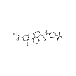 CC(=O)c1cnc(N2CCOc3c(C(=O)Nc4ccc(C(F)(F)F)cc4)cccc32)c(Cl)c1